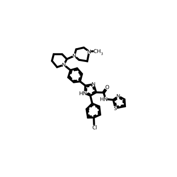 CN1CCN(C2CCCCN2c2ccc(-c3nc(C(=O)Nc4nccs4)c(-c4ccc(Cl)cc4)[nH]3)cc2)CC1